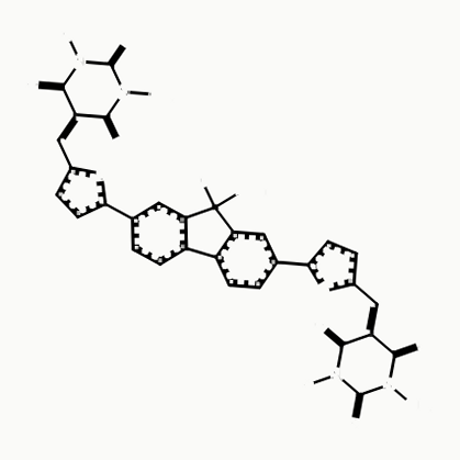 CCCCCCCCC1(CCCCCCCC)c2cc(-c3ccc(C=C4C(=O)N(C)C(=S)N(C)C4=O)s3)ccc2-c2ccc(-c3ccc(C=C4C(=O)N(C)C(=S)N(C)C4=O)s3)cc21